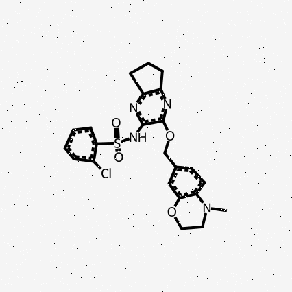 CN1CCOc2cc(COc3nc4c(nc3NS(=O)(=O)c3ccccc3Cl)CCC4)ccc21